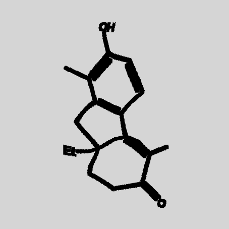 CCC12CCC(=O)C(C)=C1c1ccc(O)c(C)c1C2